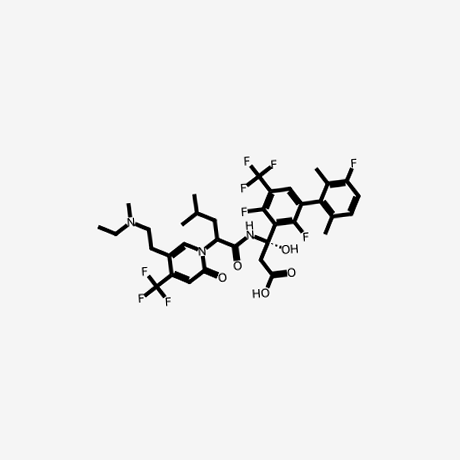 CCN(C)CCc1cn(C(CC(C)C)C(=O)N[C@](O)(CC(=O)O)c2c(F)c(-c3c(C)ccc(F)c3C)cc(C(F)(F)F)c2F)c(=O)cc1C(F)(F)F